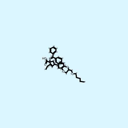 CCCCCOCC1COc2cc(C3C=C(CC)C(N=C(c4ccccc4)c4ccccc4)(C(=O)O)C3)ccc2O1